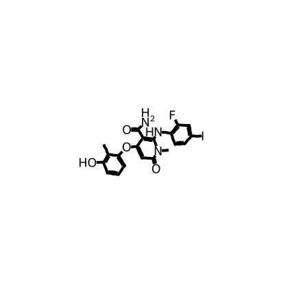 Cc1c(O)cccc1Oc1cc(=O)n(C)c(Nc2ccc(I)cc2F)c1C(N)=O